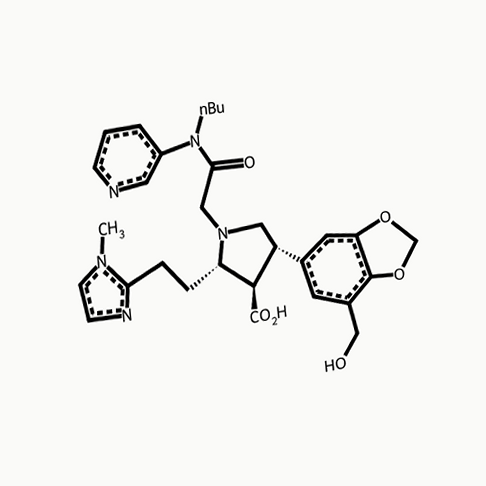 CCCCN(C(=O)CN1C[C@H](c2cc(CO)c3c(c2)OCO3)[C@@H](C(=O)O)[C@@H]1CCc1nccn1C)c1cccnc1